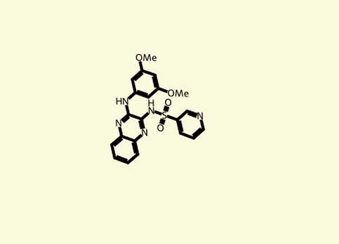 COc1cc(Nc2nc3ccccc3nc2NS(=O)(=O)c2cccnc2)cc(OC)c1